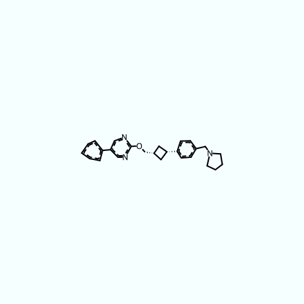 c1ccc(-c2cnc(OC[C@H]3C[C@@H](c4ccc(CN5CCCC5)cc4)C3)nc2)cc1